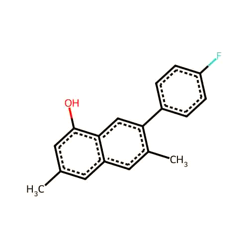 Cc1cc(O)c2cc(-c3ccc(F)cc3)c(C)cc2c1